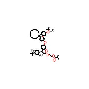 C=C(C)C(=O)OCCOC(=O)/C(C(C)=O)=C(\c1ccc(Oc2ccc(C3(c4ccc(OC(C)(C)CC)cc4)CCCCCCCCCCC3)cc2)cc1)c1ccc(C(C)(C)CC)cc1